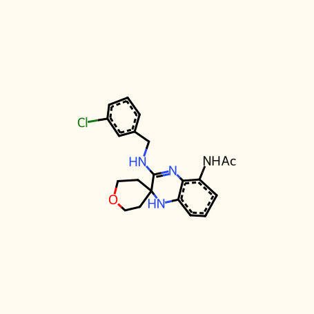 CC(=O)Nc1cccc2c1N=C(NCc1cccc(Cl)c1)C1(CCOCC1)N2